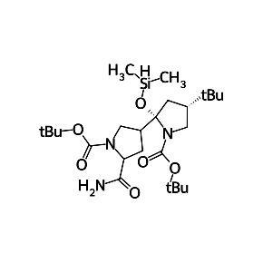 C[SiH](C)O[C@]1(C2CC(C(N)=O)N(C(=O)OC(C)(C)C)C2)C[C@H](C(C)(C)C)CN1C(=O)OC(C)(C)C